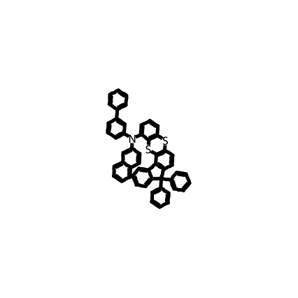 c1ccc(-c2cccc(N(c3ccc4ccccc4c3)c3cccc4c3Sc3c(ccc5c3-c3ccccc3C5(c3ccccc3)c3ccccc3)S4)c2)cc1